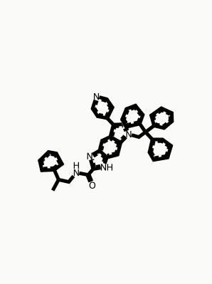 CC(CNC(=O)c1nc2cc3c(-c4ccncc4)nn(CC(c4ccccc4)(c4ccccc4)c4ccccc4)c3cc2[nH]1)c1ccccc1